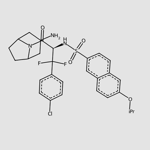 CC(C)Oc1ccc2cc(S(=O)(=O)N[C@H](C(=O)N3C4CCC3CC(N)C4)C(F)(F)c3ccc(Cl)cc3)ccc2c1